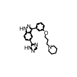 c1cc(OCCCN2CCCCC2)cc(-c2n[nH]c3ccc(-c4ncn[nH]4)cc23)c1